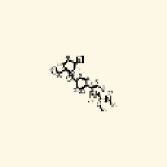 CC[C@H](c1ncc(-c2ccc(Oc3cc(Cl)ccc3C=O)cc2)n1C)N(C)C